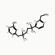 CC(C)(C)Cc1nccc(C(C)(C)CCC(C)(C)Cc2cc(C(C)(C)C)ncn2)n1